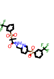 CC(C)(C(=O)NCc1ccc(S(=O)(=O)c2cccc(C(F)(F)F)c2)cn1)S(=O)(=O)c1cccc(C(F)(F)F)c1